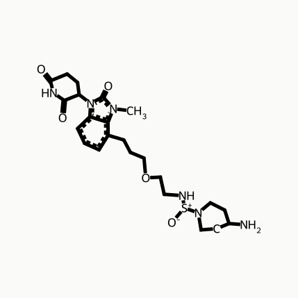 Cn1c(=O)n(C2CCC(=O)NC2=O)c2cccc(CCCOCCN[S+]([O-])N3CCC(N)CC3)c21